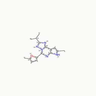 Cc1cc2c(nc(-c3ccc(C)o3)n3nc(C(C)C)nc23)[nH]1